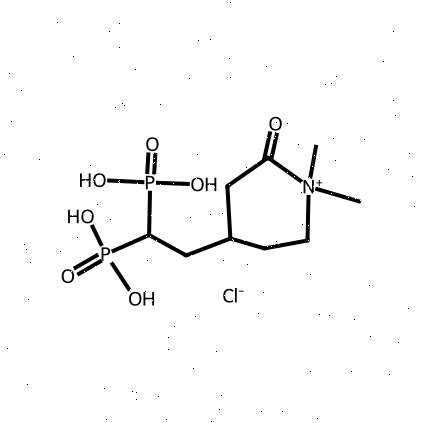 C[N+]1(C)CCC(CC(P(=O)(O)O)P(=O)(O)O)CC1=O.[Cl-]